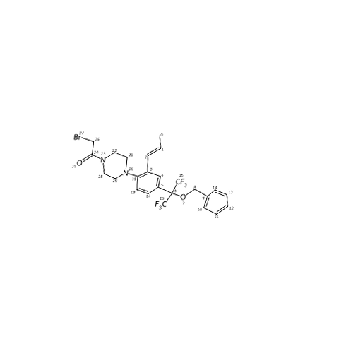 CC=Cc1cc(C(OCc2ccccc2)(C(F)(F)F)C(F)(F)F)ccc1N1CCN(C(=O)CBr)CC1